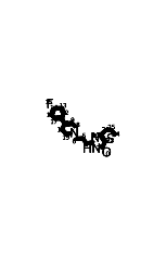 O=c1[nH]c(CCCN2CC=C(c3ccc(F)cc3)CC2)nc2c1SCCC2